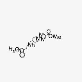 COC(=O)c1cnc(N2CCC(CNCCc3cn(C)c4ccccc34)CC2)nc1